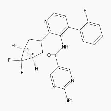 CC(C)c1ncc(C(=O)Nc2c(-c3ccccc3F)ccnc2C2C[C@@H]3[C@H](C2)C3(F)F)cn1